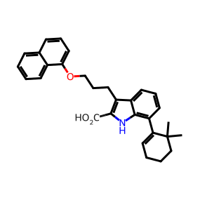 CC1(C)CCCC=C1c1cccc2c(CCCOc3cccc4ccccc34)c(C(=O)O)[nH]c12